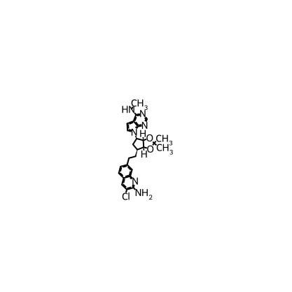 CNc1ncnc2c1ccn2[C@@H]1C[C@H](CCc2ccc3cc(Cl)c(N)nc3c2)[C@H]2OC(C)(C)O[C@H]21